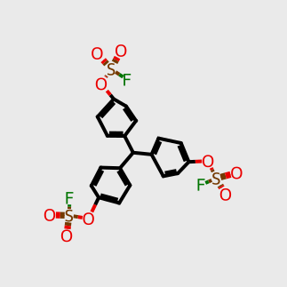 O=S(=O)(F)Oc1ccc(C(c2ccc(OS(=O)(=O)F)cc2)c2ccc(OS(=O)(=O)F)cc2)cc1